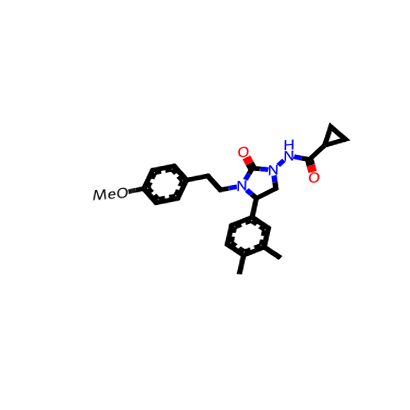 COc1ccc(CCN2C(=O)N(NC(=O)C3CC3)CC2c2ccc(C)c(C)c2)cc1